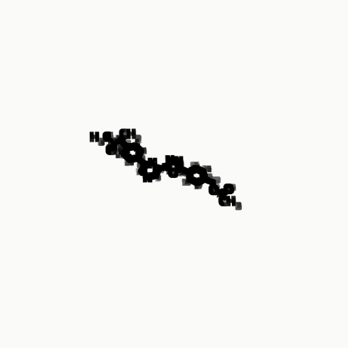 C=C(c1ccc(-c2cncc(-c3nnc(-c4ccc(COC(C)=O)cc4)o3)n2)cc1)N(C)C